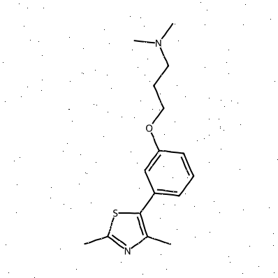 Cc1nc(C)c(-c2cccc(OCCCN(C)C)c2)s1